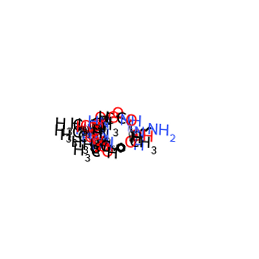 CC[C@H](C)[C@H]1NC(=O)[C@@H](NC(=O)[C@H](C)[C@H](O)C(C)C)[C@@H](C)OC(=O)[C@@H]2COC(=O)CNC(=O)/C=C/[C@](O)(CNCCCN)[C@@H](C)Oc3ccc(cc3)[C@H](NC1=O)C(=O)N(C)[C@@H](Cc1ccccc1)C(=O)N[C@H]([C@@H](C)O)C(=O)N2